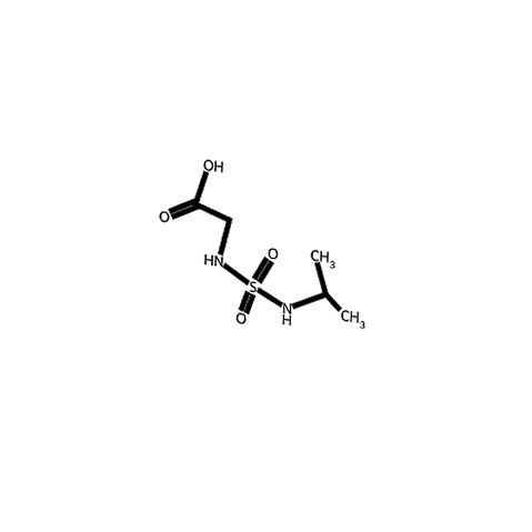 CC(C)NS(=O)(=O)NCC(=O)O